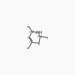 CC1=CN(C)NN(C)C1